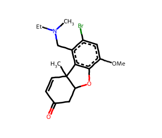 CCN(C)Cc1c(Br)cc(OC)c2c1C1(C)C=CC(=O)CC1O2